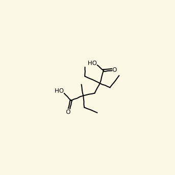 CCC(C)(CC(CC)(CC)C(=O)O)C(=O)O